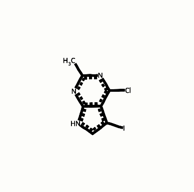 Cc1nc(Cl)c2c(I)c[nH]c2n1